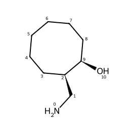 NC[C@H]1CCCCCC[C@H]1O